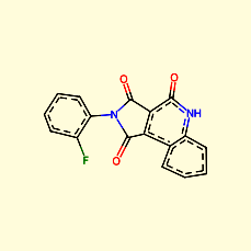 O=C1c2c(c3ccccc3[nH]c2=O)C(=O)N1c1ccccc1F